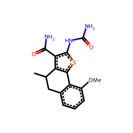 COc1cccc2c1-c1sc(NC(N)=O)c(C(N)=O)c1C(C)C2